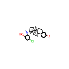 COc1ccc2c(c1)CC[C@@H]1[C@@H]2CC[C@]2(C)[C@@H](N(C)c3cc(Cl)ccc3O)CC[C@@H]12